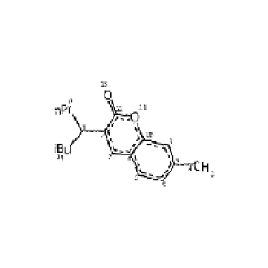 CCCC(c1cc2ccc(C)cc2oc1=O)C(C)CC